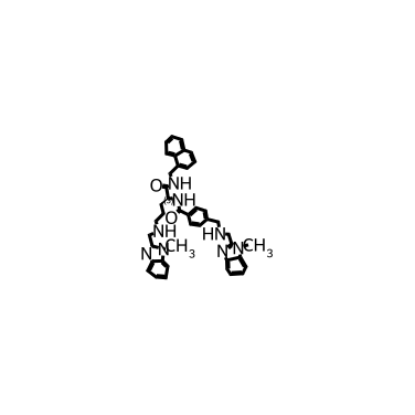 Cn1c(CNCCC[C@H](NC(=O)c2ccc(CNCc3nc4ccccc4n3C)cc2)C(=O)NCc2cccc3ccccc23)nc2ccccc21